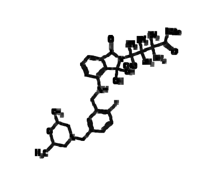 BC(B)(C(=O)NC)C(B)(B)C(B)(C=O)N1C(=O)c2cccc(NCc3cc(CN4CC(C)OC(C)C4)ccc3F)c2C1(O)O